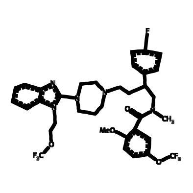 COc1ccc(OC(F)(F)F)cc1C(=O)N(C)CC(CCN1CCCN(c2nc3ccccc3n2CCOC(F)(F)F)CC1)c1ccc(F)cc1